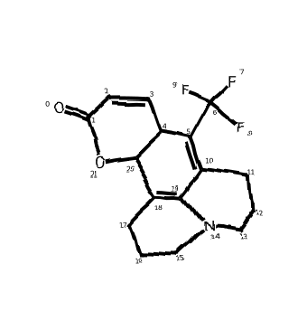 O=C1C=CC2C(C(F)(F)F)=C3CCCN4CCCC(=C34)C2O1